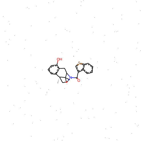 CC1(C)C2Cc3c(O)cccc3[C@]1(C)CCN2C(=O)c1csc2ccccc12